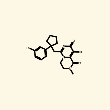 CCc1cccc(C2(Cc3nc(=O)c(O)c4n3CCN(C)C4=O)CCCC2)c1